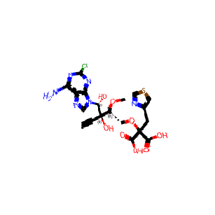 C#C[C@@](O)([C@@H](COC(Cc1cscn1)(C(=O)O)C(=O)O)OC)[C@@H](O)n1cnc2c(N)nc(Cl)nc21